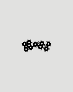 c1ccc2c(c1)-c1ccccc1C21c2ccccc2-c2c(-c3ccc4c(c3)-c3cccc5c(-n6c7ccccc7c7ccccc76)ccc(c35)O4)cccc21